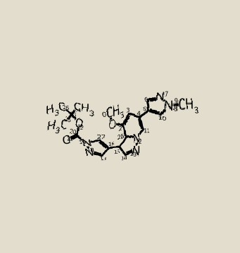 COC1=CC(c2cnn(C)c2)=CN2N=CC(c3cnn(C(=O)OC(C)(C)C)c3)C12